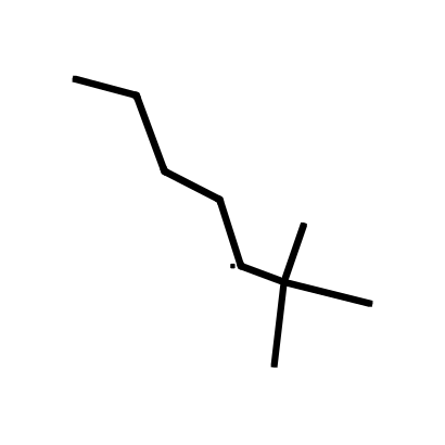 CCCC[CH]C(C)(C)C